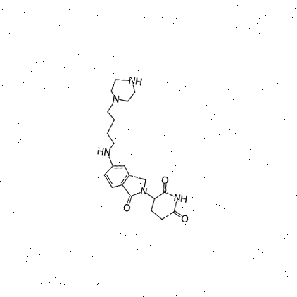 O=C1CCC(N2Cc3cc(NCCCCN4CCNCC4)ccc3C2=O)C(=O)N1